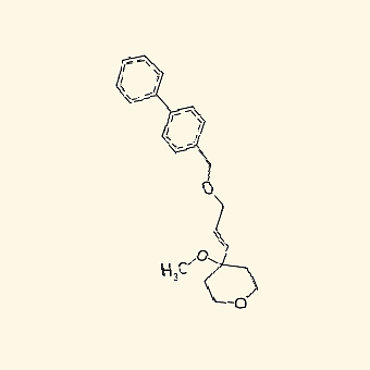 COC1(C=CCOCc2ccc(-c3ccccc3)cc2)CCOCC1